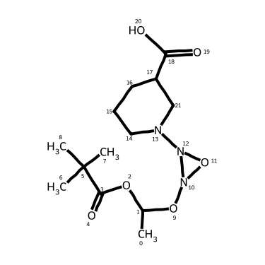 CC(OC(=O)C(C)(C)C)On1on1N1CCCC(C(=O)O)C1